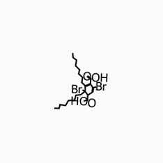 CCCCCCCCC1=C(C(=O)O)C(Br)=CC(C(=O)O)C1(Br)CCCCCCCC